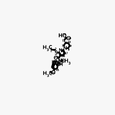 CCCSc1nc(N2CCC[C@@H](CC(=O)O)C2)ccc1C(=O)N(C)[C@H]1C2CC3CC1C[C@@](OC)(C3)C2